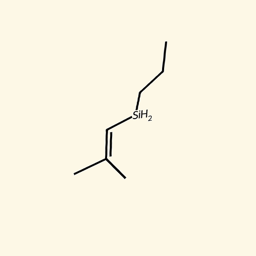 CCC[SiH2]C=C(C)C